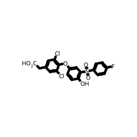 O=C(O)Cc1cc(Cl)c(Oc2ccc(O)c(S(=O)(=O)c3ccc(F)cc3)c2)c(Cl)c1